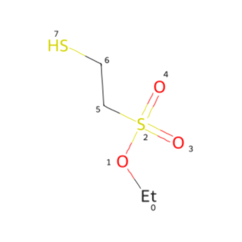 CCOS(=O)(=O)CCS